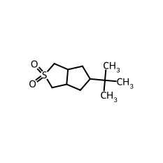 CC(C)(C)C1CC2CS(=O)(=O)CC2C1